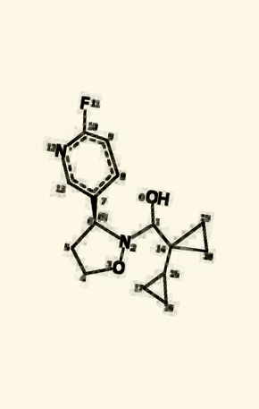 OC(N1OCC[C@H]1c1ccc(F)nc1)C1(C2CC2)CC1